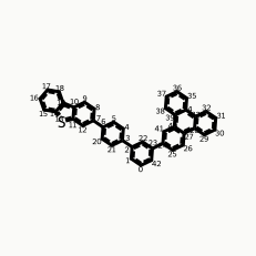 c1cc(-c2ccc(-c3ccc4c(c3)sc3ccccc34)cc2)cc(-c2ccc3c4ccccc4c4ccccc4c3c2)c1